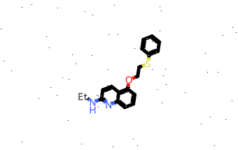 CCNc1ccc2c(OCCSc3ccccc3)cccc2n1